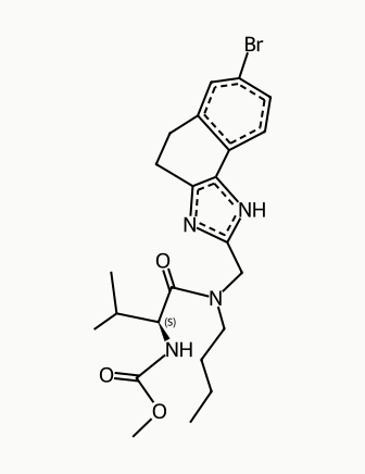 CCCCN(Cc1nc2c([nH]1)-c1ccc(Br)cc1CC2)C(=O)[C@@H](NC(=O)OC)C(C)C